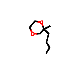 CCCCC1(C)COCCO1